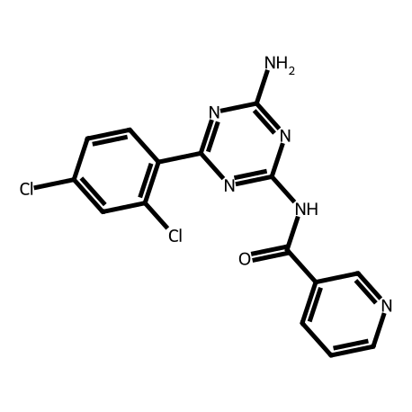 Nc1nc(NC(=O)c2cccnc2)nc(-c2ccc(Cl)cc2Cl)n1